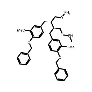 COc1cc(C[C@H](COP)[C@@H](COPC)Cc2ccc(OCc3ccccc3)c(OC)c2)ccc1OCc1ccccc1